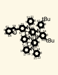 Cc1cccc(C)c1N1c2cc(N(c3ccccc3)c3ccccc3)ccc2B2c3cc(C(C)(C)C)ccc3N(c3ccc(C(C)(C)C)cc3)c3cc(N(c4ccccc4)c4ccc(-c5cc6ccccc6o5)cc4)cc1c32